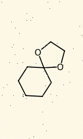 [C]1CCC2(CC1)OCCO2